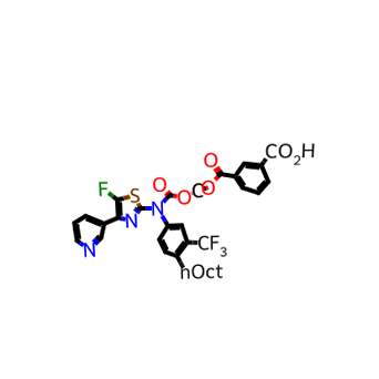 CCCCCCCCc1ccc(N(C(=O)OCOC(=O)c2cccc(C(=O)O)c2)c2nc(-c3cccnc3)c(F)s2)cc1C(F)(F)F